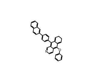 C1=c2c(Oc3ccccc3)c3ccncc3c(-c3ccc(-c4ccc5ccccc5c4)cc3)c2=CCC1